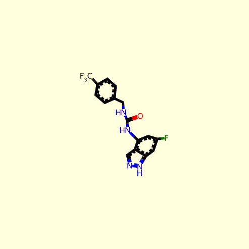 O=C(NCc1ccc(C(F)(F)F)cc1)Nc1cc(F)cc2[nH]ncc12